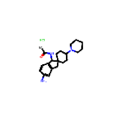 CCC(=O)NC1c2ccc(N)cc2CC12CCC(N1CCCCC1)CC2.Cl